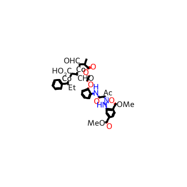 CC[CH]([Co][CH](C(=O)O)[CH](C=O)[Co][CH](C=O)C(C)C(=O)OCCOc1ccccc1NC(=O)/C(=N\Nc1cc(C(=O)OC)ccc1C(=O)OC)C(C)=O)c1ccccc1